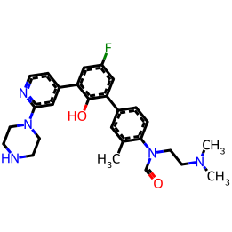 Cc1cc(-c2cc(F)cc(-c3ccnc(N4CCNCC4)c3)c2O)ccc1N(C=O)CCN(C)C